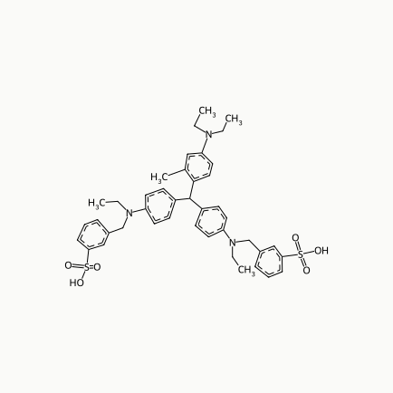 CCN(CC)c1ccc(C(c2ccc(N(CC)Cc3cccc(S(=O)(=O)O)c3)cc2)c2ccc(N(CC)Cc3cccc(S(=O)(=O)O)c3)cc2)c(C)c1